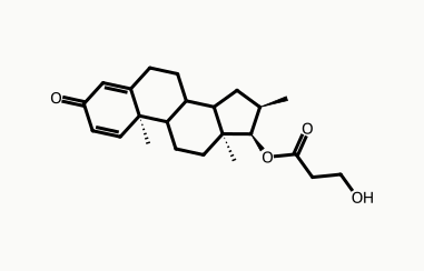 C[C@@H]1CC2C3CCC4=CC(=O)C=C[C@]4(C)C3CC[C@]2(C)[C@@H]1OC(=O)CCO